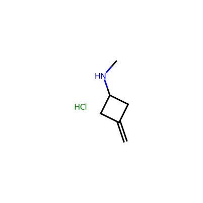 C=C1CC(NC)C1.Cl